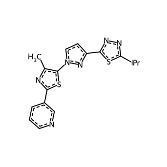 Cc1nc(-c2cccnc2)sc1-n1ccc(-c2nnc(C(C)C)s2)n1